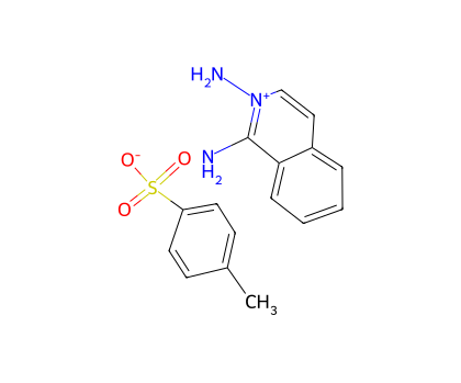 Cc1ccc(S(=O)(=O)[O-])cc1.Nc1c2ccccc2cc[n+]1N